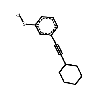 ClSc1cccc(C#CC2CCCCC2)c1